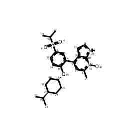 Cc1cc(-c2cc(S(=O)(=O)C(C)C)ccc2O[C@H]2CC[C@H](C(C)C)CC2)c2cc[nH]c2[n+]1[O-]